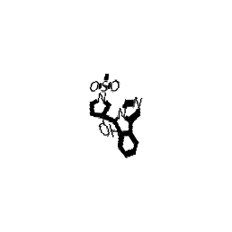 CS(=O)(=O)N1CC[C@](O)([C@@H]2c3ccccc3-c3cncn32)C1